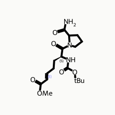 COC(=O)/C=C/CC[C@H](NC(=O)OC(C)(C)C)C(=O)N1CCCC1C(N)=O